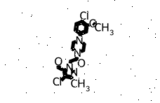 COc1cc(N2CCN(C(=O)Cn3nc(C)c(Cl)c3C=O)CC2)ccc1Cl